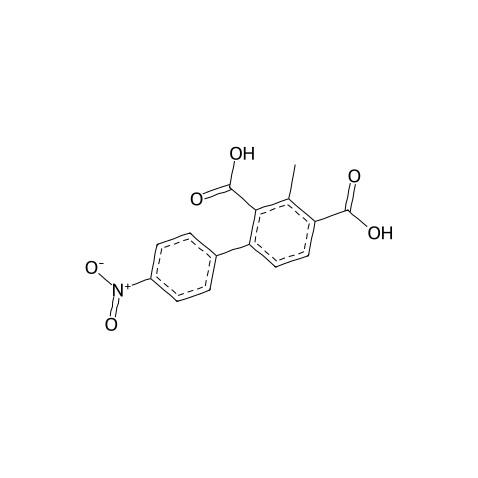 Cc1c(C(=O)O)ccc(-c2ccc([N+](=O)[O-])cc2)c1C(=O)O